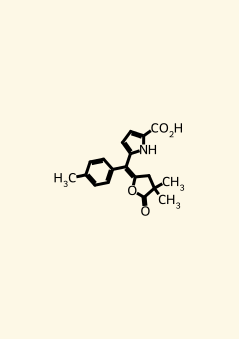 Cc1ccc(C(=C2CC(C)(C)C(=O)O2)c2ccc(C(=O)O)[nH]2)cc1